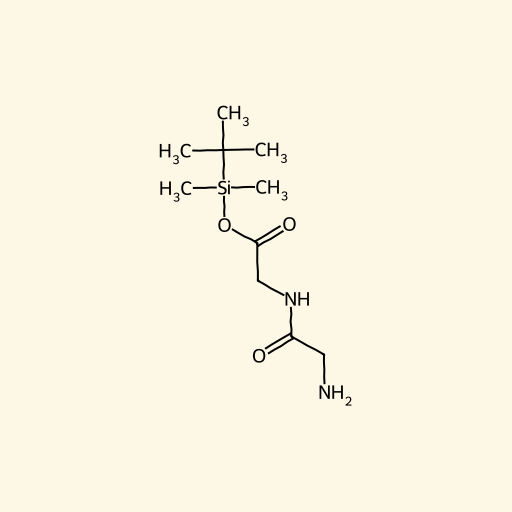 CC(C)(C)[Si](C)(C)OC(=O)CNC(=O)CN